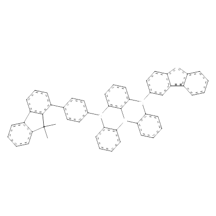 CC1(C)c2ccccc2-c2cccc(-c3ccc(N4c5ccccc5B5c6ccccc6N(c6ccc7sc8ccccc8c7c6)c6cccc4c65)cc3)c21